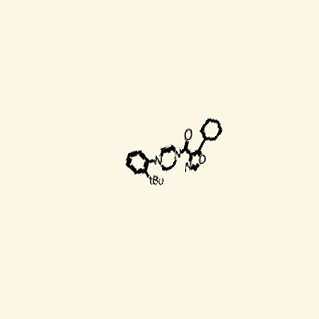 CC(C)(C)c1ccccc1N1CCN(C(=O)c2ncoc2C2CCCCC2)CC1